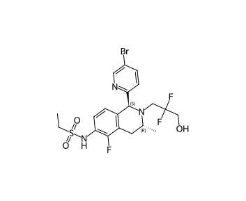 CCS(=O)(=O)Nc1ccc2c(c1F)C[C@@H](C)N(CC(F)(F)CO)[C@@H]2c1ccc(Br)cn1